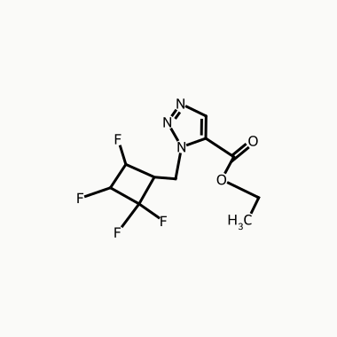 CCOC(=O)c1cnnn1CC1C(F)C(F)C1(F)F